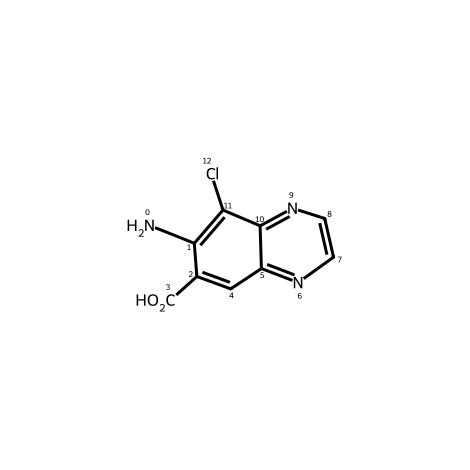 Nc1c(C(=O)O)cc2nccnc2c1Cl